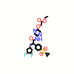 CCOC(=O)COc1cnc(NC(=O)/C(=C/[C@H]2C[C@@H](F)[C@@H](F)C2)c2ccc(S(=O)(=O)C3CC3)cc2)cn1